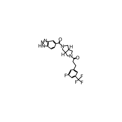 O=C(CCc1cc(F)cc(C(F)(F)F)c1)N1C[C@@H]2CN(C(=O)c3ccc4[nH]nnc4c3)C[C@@H]2C1